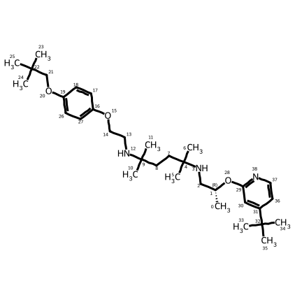 C[C@H](CNC(C)(C)CCC(C)(C)NCCOc1ccc(OCC(C)(C)C)cc1)Oc1cc(C(C)(C)C)ccn1